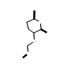 N=NCNC1CCC(=O)NC1=O